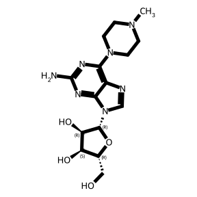 CN1CCN(c2nc(N)nc3c2ncn3[C@@H]2O[C@H](CO)[C@@H](O)[C@H]2O)CC1